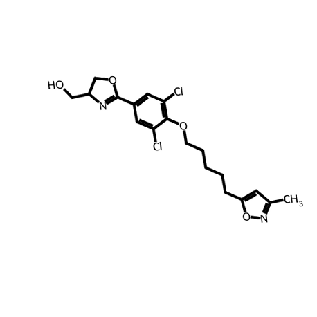 Cc1cc(CCCCCOc2c(Cl)cc(C3=NC(CO)CO3)cc2Cl)on1